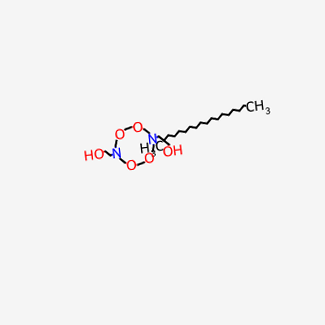 CCCCCCCCCCCCCCCCC(C)(CO)CN1CCOCCOCCN(CCO)CCOCCOCC1